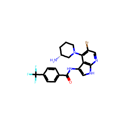 N[C@@H]1CCCN(c2c(Br)cnc3[nH]cc(NC(=O)c4ccc(C(F)(F)F)cc4)c23)C1